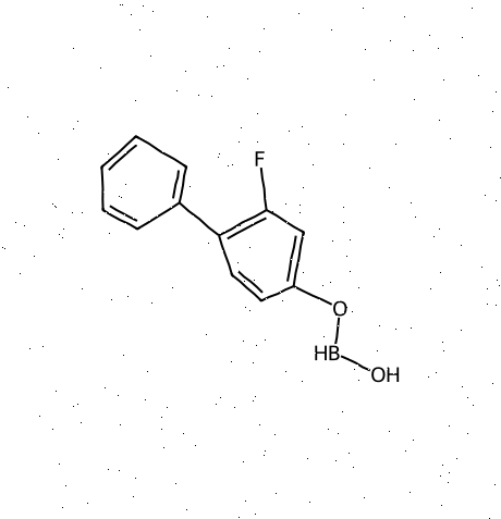 OBOc1ccc(-c2ccccc2)c(F)c1